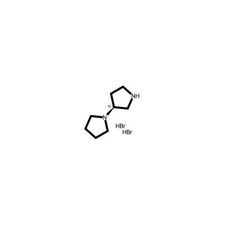 Br.Br.C1CCN([C@H]2CCNC2)C1